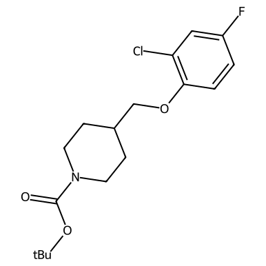 CC(C)(C)OC(=O)N1CCC(COc2ccc(F)cc2Cl)CC1